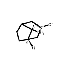 CC1(C)C2CC[C@H]1C[S+]([O-])C2